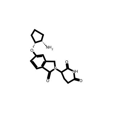 N[C@H]1CCC[C@H]1Oc1ccc2c(c1)CN(C1CCC(=O)NC1=O)C2=O